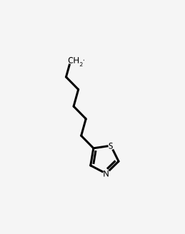 [CH2]CCCCCc1cncs1